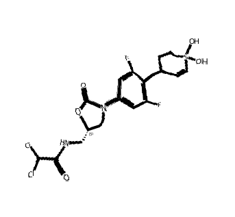 O=C(NC[C@H]1CN(c2cc(F)c(C3C=CS(O)(O)CC3)c(F)c2)C(=O)O1)C(Cl)Cl